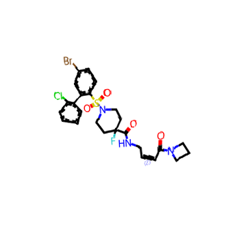 O=C(/C=C\CNC(=O)C1(F)CCN(S(=O)(=O)c2ccc(Br)cc2-c2ccccc2Cl)CC1)N1CCC1